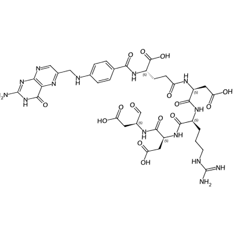 N=C(N)NCCC[C@H](NC(=O)[C@H](CC(=O)O)NC(=O)CC[C@H](NC(=O)c1ccc(NCc2cnc3nc(N)[nH]c(=O)c3n2)cc1)C(=O)O)C(=O)N[C@@H](CC(=O)O)C(=O)N[C@H](C=O)CC(=O)O